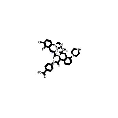 CC1(C)Cc2c(cccc2N2CCNCC2)C(C(=O)Nc2ccc(C(=O)O)cc2)N1C(=O)/C=C/c1c(-n2cnnn2)ccc(Cl)c1F